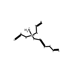 C=CCC=CC[Si](N)(CC=C)CC=C